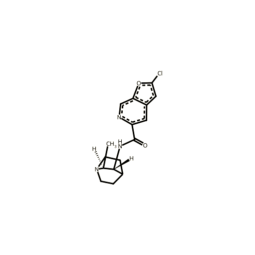 C[C@H]1[C@H](NC(=O)c2cc3cc(Cl)oc3cn2)C2CCN1CC2